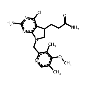 COc1c(C)cnc(CN2CC(CCC(N)=O)c3c(Cl)nc(N)nc32)c1C